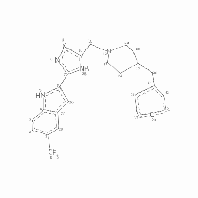 FC(F)(F)c1ccc2[nH]c(-c3nnc(CN4CCC(Cc5ccccc5)CC4)[nH]3)cc2c1